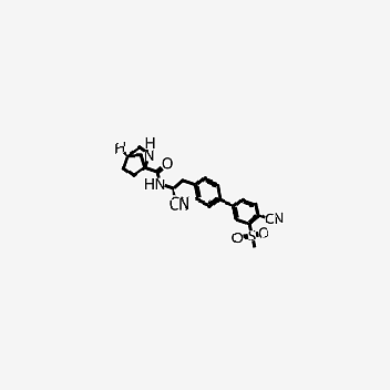 CS(=O)(=O)c1cc(-c2ccc(C[C@@H](C#N)NC(=O)C34CC[C@H](CN3)C4)cc2)ccc1C#N